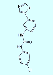 O=C(Nc1ccc(Cl)cc1)Nc1cccc(-c2cncs2)c1